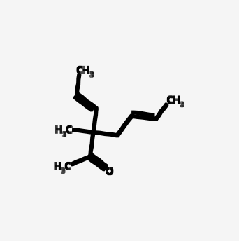 CC=CCC(C)(C=CC)C(C)=O